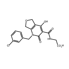 O=C(O)CNC(=O)c1c(O)c2c(n(Cc3cccc(Cl)c3)c1=O)COC2